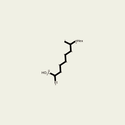 CCCCCCC(C)CCCCCC(CC)C(=O)O